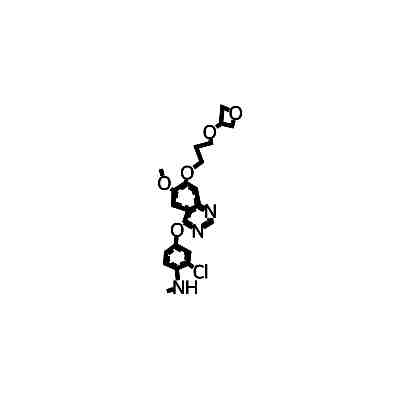 CNc1ccc(Oc2ncnc3cc(OCCCOC4COC4)c(OC)cc23)cc1Cl